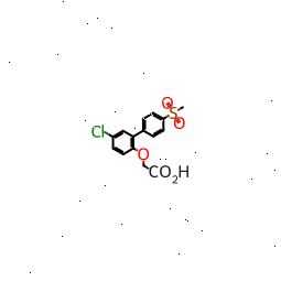 CS(=O)(=O)c1ccc(-c2cc(Cl)ccc2OCC(=O)O)cc1